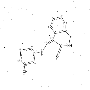 O=C1NCc2ccccc2/C1=C/Nc1cccc(O)c1